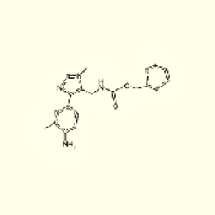 Cc1nc(-c2nnn(C)c2CNC(=O)OCc2ccccc2)ccc1N